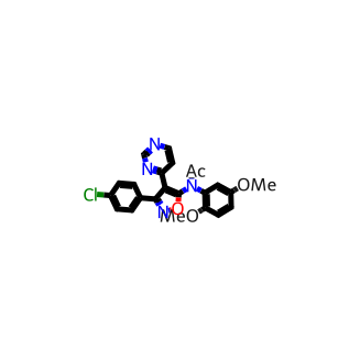 COc1ccc(OC)c(N(C(C)=O)c2onc(-c3ccc(Cl)cc3)c2-c2ccncn2)c1